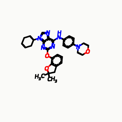 CC1(C)Cc2cccc(Oc3nc(Nc4ccc(N5CCOCC5)cc4)c4ncn(C5CCCCC5)c4n3)c2O1